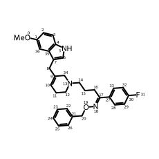 COc1ccc2[nH]cc(CC3=CCCN(CCCC(=NOCc4ccccc4)c4ccc(F)cc4)C3)c2c1